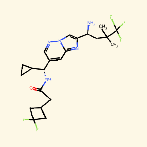 CC(C)(C[C@H](N)c1cn2ncc([C@H](NC(=O)CC3CC(F)(F)C3)C3CC3)cc2n1)C(F)(F)F